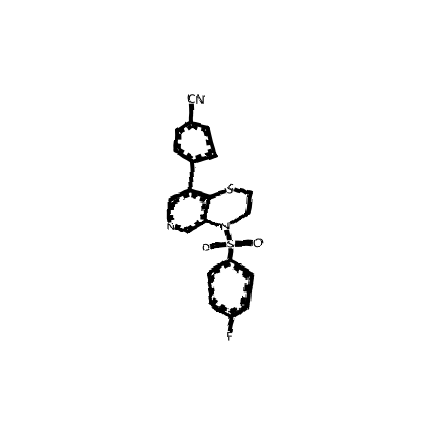 N#Cc1ccc(-c2cncc3c2SCCN3S(=O)(=O)c2ccc(F)cc2)cc1